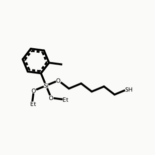 CCO[Si](OCC)(OCCCCCS)c1ccccc1C